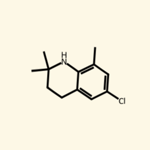 Cc1cc(Cl)cc2c1NC(C)(C)CC2